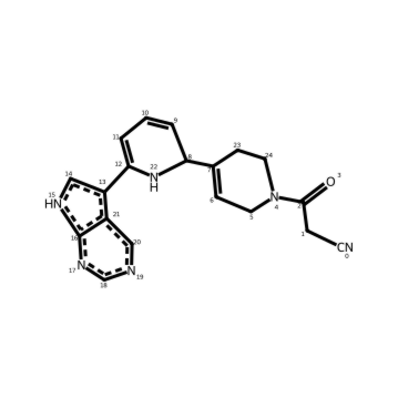 N#CCC(=O)N1CC=C(C2C=CC=C(c3c[nH]c4ncncc34)N2)CC1